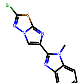 Cn1c(-c2cn3nc(Br)sc3n2)nc2ccccc21